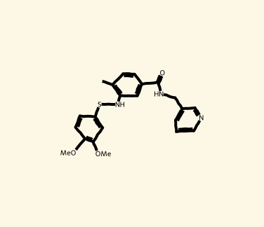 COc1ccc(SNc2cc(C(=O)NCc3cccnc3)ccc2C)cc1OC